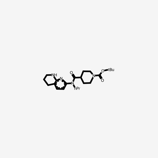 CCCN(C(=O)C1CCN(C(=O)OC(C)(C)C)CC1)c1ccc2c(n1)NCCC2